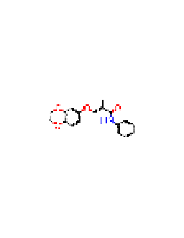 C/C(=C\Oc1ccc2c(c1)OCCO2)C(=O)Nc1ccccc1